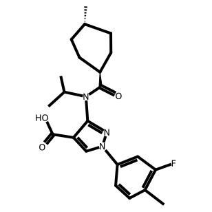 Cc1ccc(-n2cc(C(=O)O)c(N(C(=O)[C@H]3CC[C@H](C)CC3)C(C)C)n2)cc1F